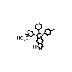 C[C@]1(C(=O)O)C[C@H](c2c(C3CCOCC3)n(-c3ccc(F)cc3)c3cc4cn[nH]c4cc23)CO1